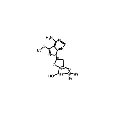 CCSc1nn([C@H]2C[C@@H](O[Si](C(C)C)(C(C)C)C(C)C)[C@@H](CO)O2)c2ncnc(N)c12